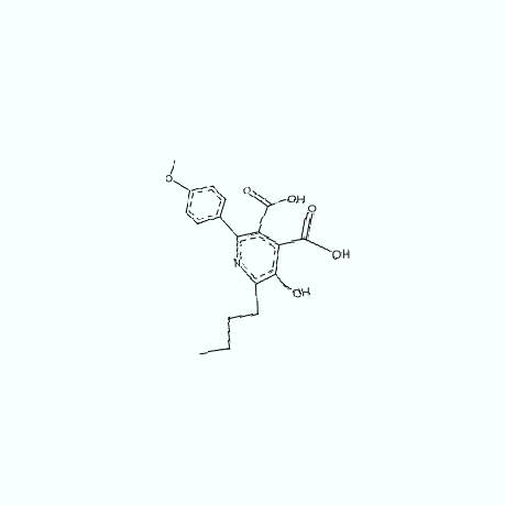 CCCCc1nc(-c2ccc(OC)cc2)c(C(=O)O)c(C(=O)O)c1O